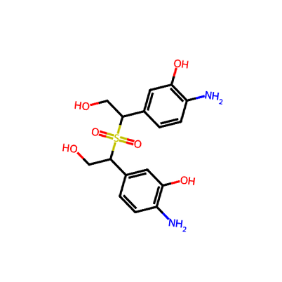 Nc1ccc(C(CO)S(=O)(=O)C(CO)c2ccc(N)c(O)c2)cc1O